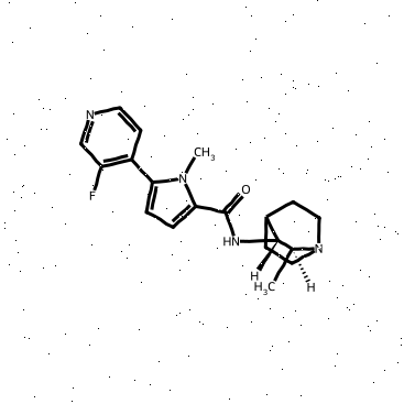 C[C@H]1[C@H](NC(=O)c2ccc(-c3ccncc3F)n2C)C2CCN1CC2